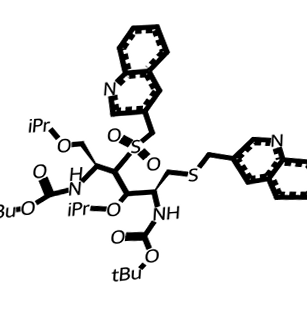 CC(C)OC[C@H](NC(=O)OC(C)(C)C)C(C(OC(C)C)[C@@H](CSCc1cnc2ccccc2c1)NC(=O)OC(C)(C)C)S(=O)(=O)Cc1cnc2ccccc2c1